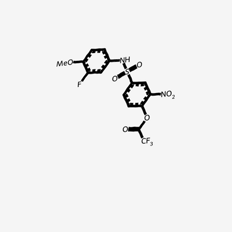 COc1ccc(NS(=O)(=O)c2ccc(OC(=O)C(F)(F)F)c([N+](=O)[O-])c2)cc1F